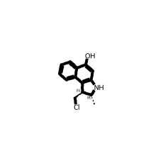 C[C@H]1Nc2cc(O)c3ccccc3c2[C@@H]1CCl